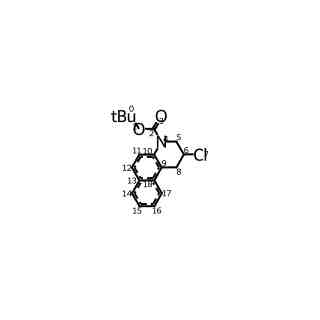 CC(C)(C)OC(=O)N1CC(Cl)Cc2c1ccc1ccccc21